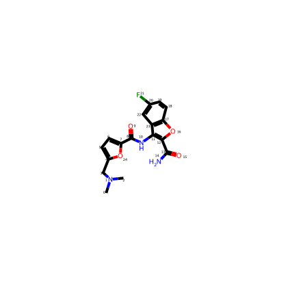 CN(C)Cc1ccc(C(=O)Nc2c(C(N)=O)oc3ccc(F)cc23)o1